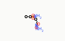 NON=NC(=O)/C=C/c1ccc(N(N)S(=O)(=O)c2ccc(-c3ccccc3)cc2)cc1